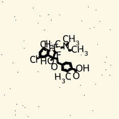 CCN(CC)CC.Cc1cc(C(=O)CC(O)(c2cc(Cl)cc(Cl)c2)C(F)(F)F)ccc1C(=O)O